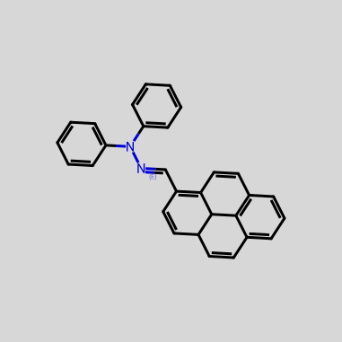 C1=CC2C=Cc3cccc4c3C2C(=C1/C=N/N(c1ccccc1)c1ccccc1)C=C4